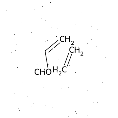 C=C.C=CC=O